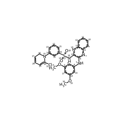 COc1cc(Nc2nc3ccccc3nc2NS(=O)(=O)c2cccc(N3CC=CC=C3Cl)c2)cc(OC)c1